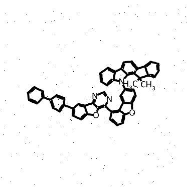 CC1(C)c2ccccc2-c2ccc3c4ccccc4n(-c4ccc5oc6cccc(-c7ncnc8c7oc7ccc(-c9ccc(-c%10ccccc%10)cc9)cc78)c6c5c4)c3c21